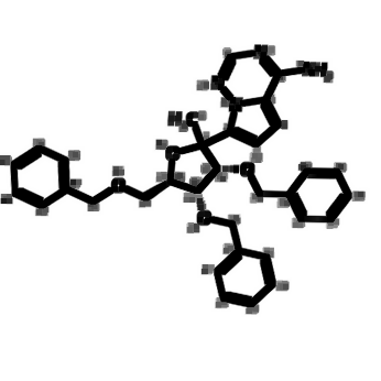 CC1(c2ccc3c(N)ncnn23)O[C@H](COCc2ccccc2)[C@@H](OCc2ccccc2)[C@H]1OCc1ccccc1